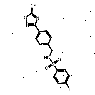 O=S(=O)(NCc1ccc(-c2noc(C(F)(F)F)n2)cc1)c1ccc(F)cc1